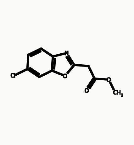 COC(=O)Cc1nc2ccc(Cl)cc2o1